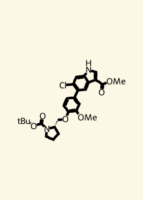 COC(=O)c1c[nH]c2cc(Cl)c(-c3ccc(OC[C@@H]4CCCN4C(=O)OC(C)(C)C)c(OC)c3)cc12